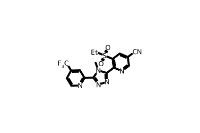 CCS(=O)(=O)c1cc(C#N)cnc1-c1nnc(-c2cc(C(F)(F)F)ccn2)n1C